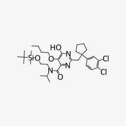 CCCCOc1c(O)nc(CC2(c3ccc(Cl)c(Cl)c3)CCCC2)nc1C(=O)N(CCO[Si](C)(C)C(C)(C)C)C(C)C